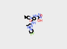 Cc1cc(NC(=O)c2ccc(Nc3nonc3CO)cc2N2CCC3(CC2)CC3)nc(N2CCC(F)(F)CC2)n1